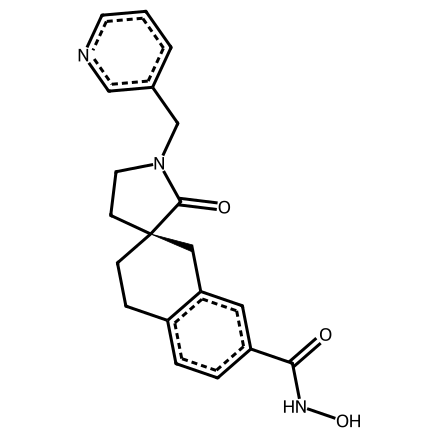 O=C(NO)c1ccc2c(c1)C[C@@]1(CC2)CCN(Cc2cccnc2)C1=O